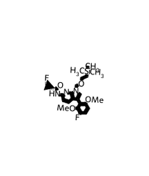 COc1ccc(F)c(OC)c1-c1cn(COCC[Si](C)(C)C)c2nc(NC(=O)[C@@H]3C[C@@H]3F)ccc12